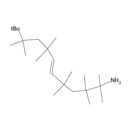 CC(C)(/C=C/C(C)(C)CC(C)(C)C(C)(C)N)CC(C)(C)C(C)(C)C